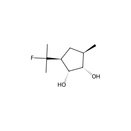 C[C@@H]1C[C@H](C(C)(C)F)[C@@H](O)[C@H]1O